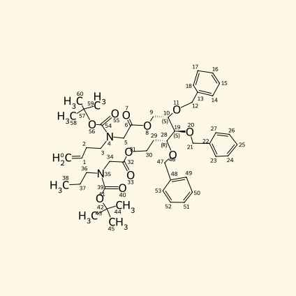 C=CCCN(CC(=O)OC[C@H](OCc1ccccc1)[C@@H](OCc1ccccc1)[C@@H](CCOC(=O)CN(CCC)C(=O)OC(C)(C)C)OCc1ccccc1)C(=O)OC(C)(C)C